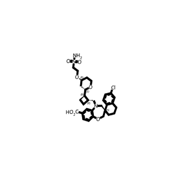 NS(=O)(=O)CCO[C@@H]1CCO[C@H]([C@@H]2CC[C@H]2CN2C[C@@]3(CCCc4cc(Cl)ccc43)COc3ccc(C(=O)O)cc32)C1